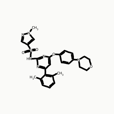 Cc1cccc(C)c1-c1cc(Oc2ccc(N3CCOCC3)cc2)nc(NS(=O)(=O)c2cnn(C)c2)n1